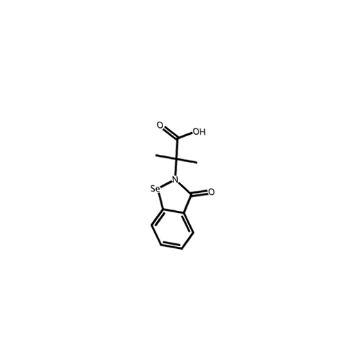 CC(C)(C(=O)O)n1[se]c2ccccc2c1=O